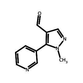 Cn1ncc(C=O)c1-c1cccnc1